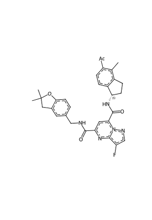 CC(=O)c1ccc2c(c1C)CC[C@@H]2NC(=O)c1cc(C(=O)NCc2ccc3c(c2)CC(C)(C)O3)nc2c(F)cnn12